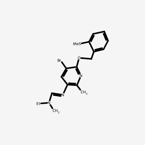 CCN(C)/C=N/c1cc(Br)c(OCc2ccccc2SC)nc1C